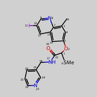 CSC(Oc1cc(C)c2ncc(I)cc2c1)C(=O)NCc1cccnc1